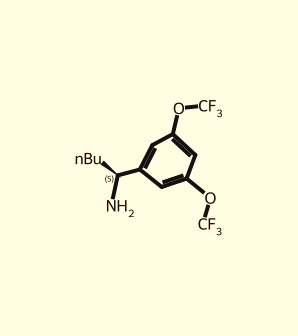 CCCC[C@H](N)c1cc(OC(F)(F)F)cc(OC(F)(F)F)c1